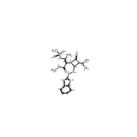 COC(=O)/C(=C(/C)OS(C)(=O)=O)N1C(=O)C([C@H](C)O)C1SSc1nc2ccccc2s1